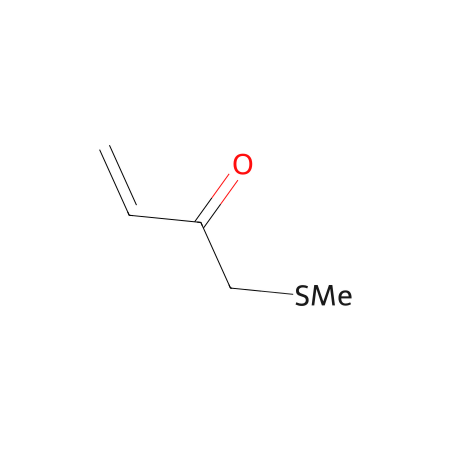 C=CC(=O)CSC